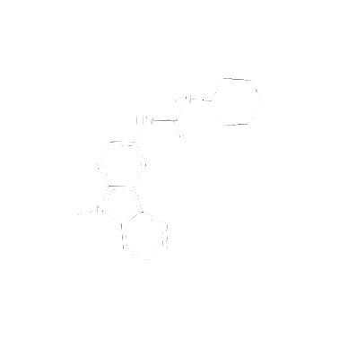 Cn1c2ccccc2c2cc(NC(=O)NC3CCCCC3)ccc21